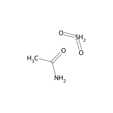 CC(N)=O.O=[SH2]=O